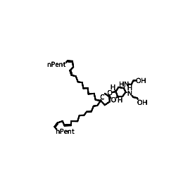 CCCCC/C=C\C/C=C\CCCCCCCCC1(CCCCCCCC/C=C\C/C=C\CCCCC)CCC2(CC1)O[C@H]1C[C@H](NCCO)[C@H](NCCO)C[C@@H]1O2